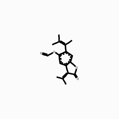 CC(C)=C(C)c1cc2c(cc1OC=O)C(=C(C)C)C(=O)O2